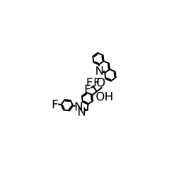 OC(COc1cccc2cc3ccccc3nc12)(c1ccc2c(cnn2-c2ccc(F)cc2)c1)C(F)(F)F